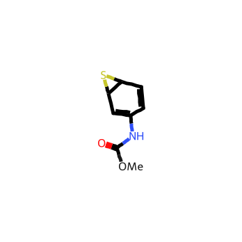 COC(=O)NC1=CC2SC2C=C1